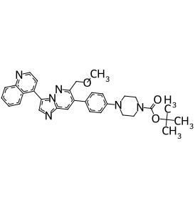 COCc1nn2c(-c3ccnc4ccccc34)cnc2cc1-c1ccc(N2CCN(C(=O)OC(C)(C)C)CC2)cc1